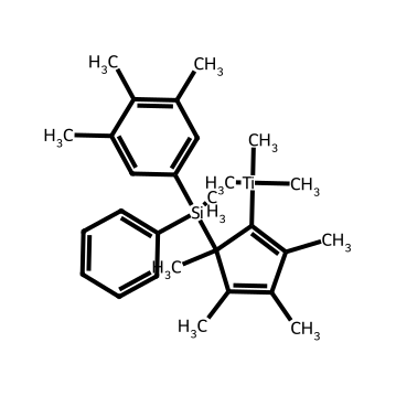 CC1=C(C)C(C)([Si](C)(c2ccccc2)c2cc(C)c(C)c(C)c2)[C]([Ti]([CH3])([CH3])[CH3])=C1C